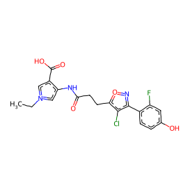 CCn1cc(NC(=O)CCc2onc(-c3ccc(O)cc3F)c2Cl)c(C(=O)O)c1